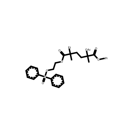 CCC(C)(CCC(C)(OC(C)=O)C(=O)OC(C)C)C(=O)OCCOP(=O)(c1ccccc1)c1ccccc1